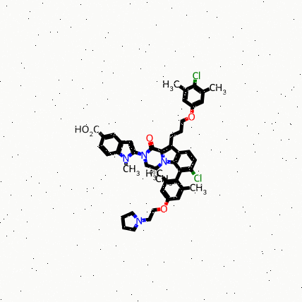 Cc1cc(OCCCc2c3n(c4c(-c5c(C)cc(OCCN6CCCC6)cc5C)c(Cl)ccc24)[C@H](C)CN(c2cc4cc(C(=O)O)ccc4n2C)C3=O)cc(C)c1Cl